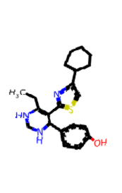 CCC1=C(c2nc(C3CCCCC3)cs2)C(c2ccc(O)cc2)NCN1